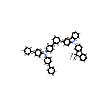 CC1(C)c2ccccc2-c2ccc(-n3c4ccccc4c4cc(-c5cccc(-c6ccc(N(c7ccc(-c8ccccc8)cc7)c7ccc(-c8ccccc8)cc7)cc6)c5)ccc43)cc21